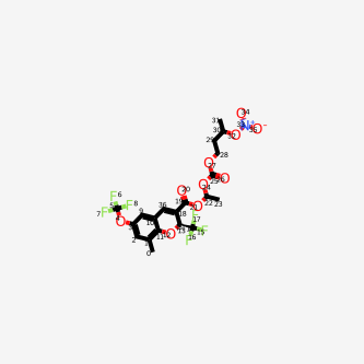 Cc1cc(OC(F)(F)F)cc2c1O[C@H](C(F)(F)F)C(C(=O)OC(C)OC(=O)OCCC(C)O[N+](=O)[O-])=C2